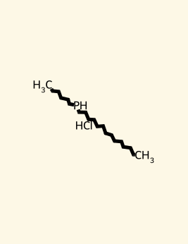 CCCCCCCCCCCCCCPCCCCCC.Cl